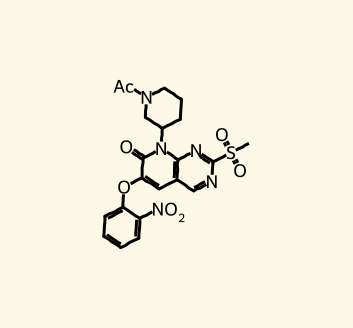 CC(=O)N1CCCC(n2c(=O)c(Oc3ccccc3[N+](=O)[O-])cc3cnc(S(C)(=O)=O)nc32)C1